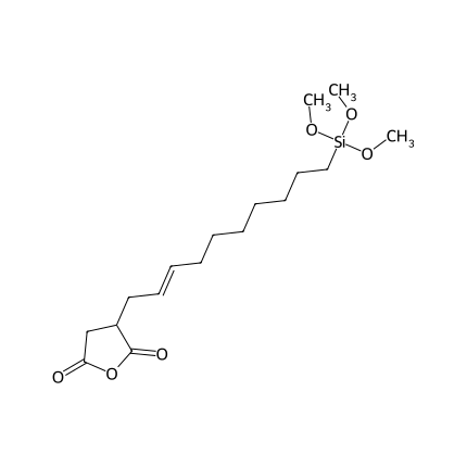 CO[Si](CCCCCCCC=CCC1CC(=O)OC1=O)(OC)OC